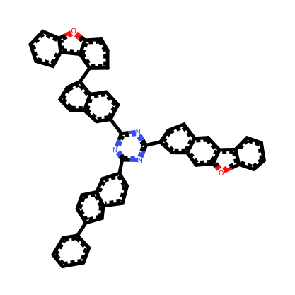 c1ccc(-c2ccc3cc(-c4nc(-c5ccc6cc7c(cc6c5)oc5ccccc57)nc(-c5ccc6c(-c7cccc8oc9ccccc9c78)cccc6c5)n4)ccc3c2)cc1